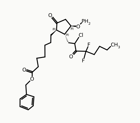 CCCCC(F)(F)C(=O)C(Cl)C[C@H]1[C@H](OP)CC(=O)[C@@H]1CCCCCCC(=O)OCc1ccccc1